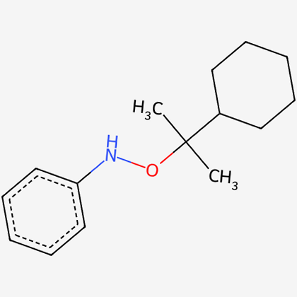 CC(C)(ONc1ccccc1)C1CCCCC1